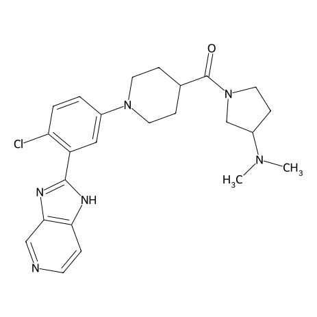 CN(C)C1CCN(C(=O)C2CCN(c3ccc(Cl)c(-c4nc5cnccc5[nH]4)c3)CC2)C1